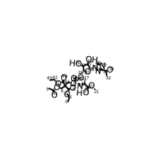 CCOC(=O)C(COC(C)=O)(COP(=O)(N[C@@H](C)C(=O)OC)OC[C@H]1O[C@@H](n2cnc(C(C)=O)n2)C(O)C1O)C(=O)OCC